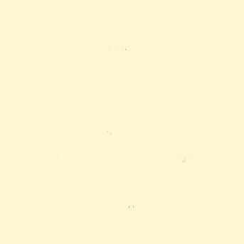 CC[NH+](CC)CCOC(=O)c1ccc(N)cc1.COCCOC([CH2][Hg])CNC(=O)c1ccccc1OCC(=O)[O-].O